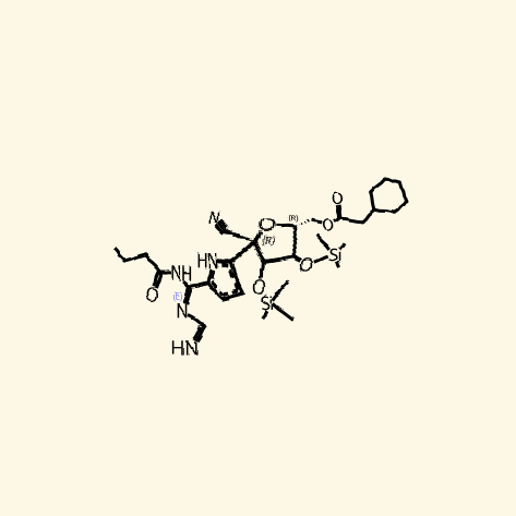 CCCC(=O)N/C(=N/C=N)c1ccc([C@]2(C#N)O[C@H](COC(=O)CC3CCCCC3)C(O[Si](C)(C)C)C2O[Si](C)(C)C)[nH]1